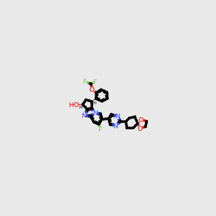 O[C@@H]1C[C@H](c2ccccc2OC(F)F)c2c1nc1cc(F)c(-c3cnc(C4CCC5(CC4)OCCO5)nc3)cn21